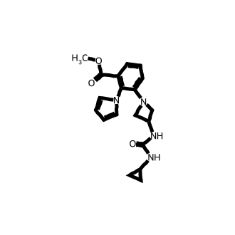 COC(=O)c1cccc(N2CC(NC(=O)NC3CC3)C2)c1-n1cccc1